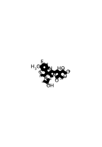 Cc1c(F)cc2nc3c(c4c2c1SCC4N1CC(O)C1)Cn1c-3cc2c(c1=O)COC(=O)C2O